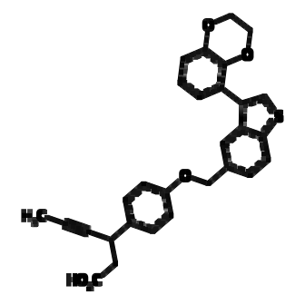 CC#CC(CC(=O)O)c1ccc(OCc2ccc3scc(-c4cccc5c4OCCO5)c3c2)cc1